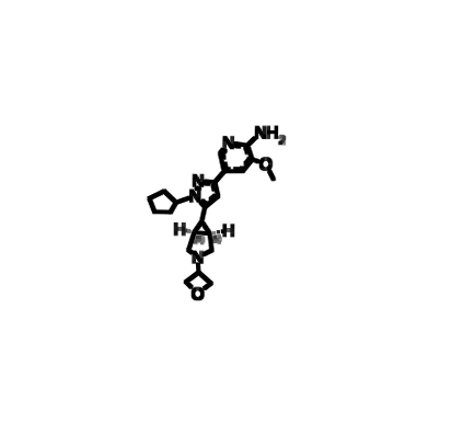 COc1cc(-c2cc(C3[C@H]4CN(C5COC5)C[C@@H]34)n(C3CCCC3)n2)cnc1N